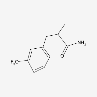 CC(Cc1cccc(C(F)(F)F)c1)C(N)=O